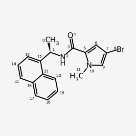 C[C@@H](NC(=O)c1cc(Br)cn1C)c1cccc2ccccc12